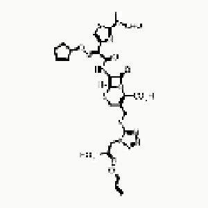 C=CCON=C(Cn1nnnc1SCC1=C(C(=O)O)N2C(=O)C(NC(=O)C(=NOC3C=CCC3)c3csc(NC=O)n3)[C@@H]2SC1)C(=O)O